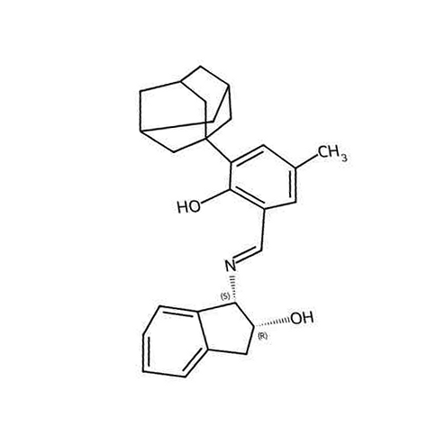 Cc1cc(C=N[C@H]2c3ccccc3C[C@H]2O)c(O)c(C23CC4CC(CC(C4)C2)C3)c1